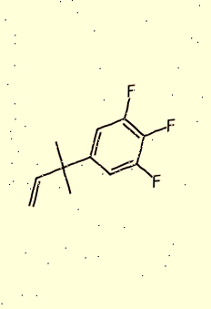 C=CC(C)(C)c1cc(F)c(F)c(F)c1